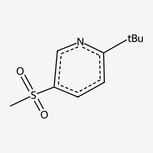 CC(C)(C)c1ccc(S(C)(=O)=O)cn1